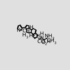 C[C@H](N)C(=O)NC(C(=O)O)[C@H]1CC[C@@]2(C)C(=CC[C@@H]3[C@@H]2CC[C@]2(C)C(c4cccnc4)=CC[C@@H]32)C1